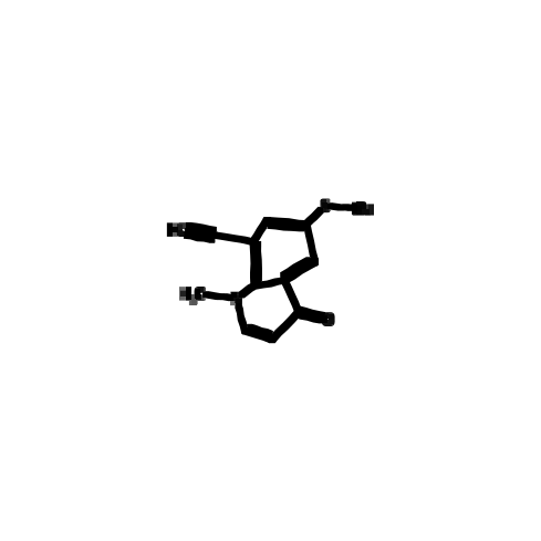 C#Cc1cc(SC(C)(C)C)cc2c(=O)ccn(C)c12